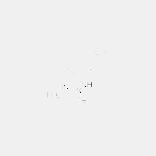 CC/C=C(\C)NN(C)NC